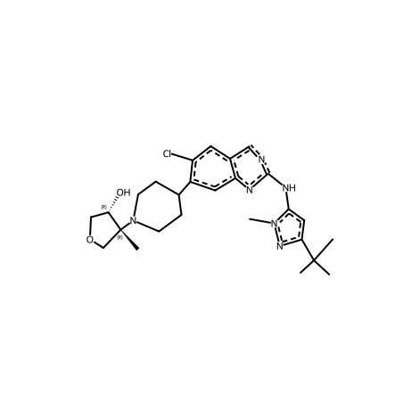 Cn1nc(C(C)(C)C)cc1Nc1ncc2cc(Cl)c(C3CCN([C@]4(C)COC[C@@H]4O)CC3)cc2n1